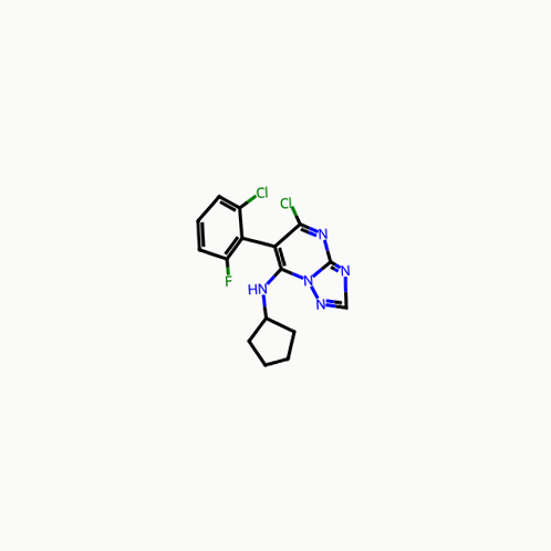 Fc1cccc(Cl)c1-c1c(Cl)nc2ncnn2c1NC1CCCC1